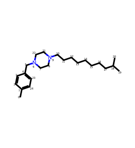 Cc1ccc(CN2CCN(CCCCCCCCC(C)C)CC2)cc1